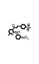 Cc1ccc(C(=O)C=Cc2ccc(S(C)(=O)=O)cc2)c(Nc2cccc([N+](=O)[O-])c2)n1